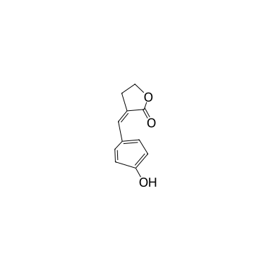 O=C1OCCC1=Cc1ccc(O)cc1